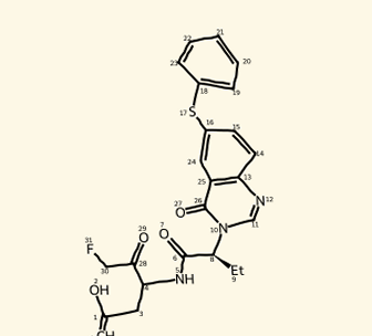 C=C(O)CC(NC(=O)[C@H](CC)n1cnc2ccc(Sc3ccccc3)cc2c1=O)C(=O)CF